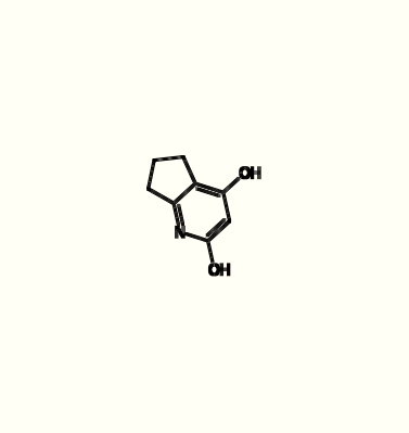 Oc1cc(O)c2c(n1)CCC2